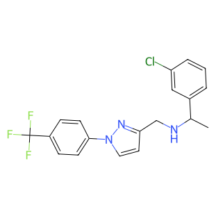 CC(NCc1ccn(-c2ccc(C(F)(F)F)cc2)n1)c1cccc(Cl)c1